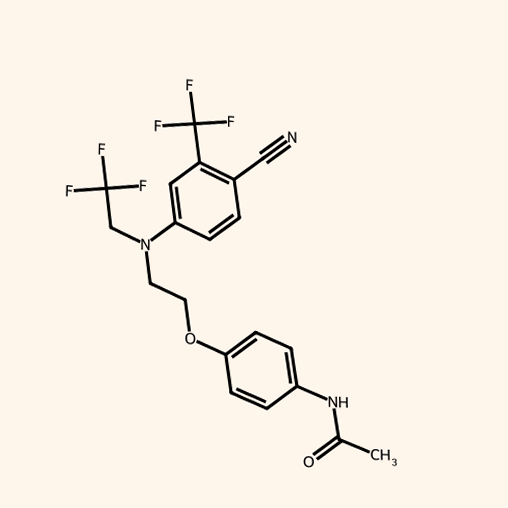 CC(=O)Nc1ccc(OCCN(CC(F)(F)F)c2ccc(C#N)c(C(F)(F)F)c2)cc1